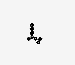 c1ccc(-c2ccc(-c3ccc(-c4nc(-c5ccccc5)cc(-c5ccc(-n6c7ccccc7c7ccccc76)cc5)n4)cc3)cc2)cc1